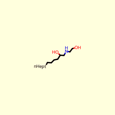 CCCCCCCCCCCC(O)CNCCO